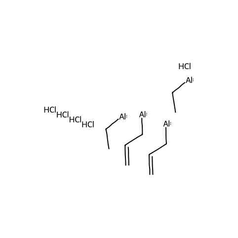 C=C[CH2][Al].C=C[CH2][Al].C[CH2][Al].C[CH2][Al].Cl.Cl.Cl.Cl.Cl